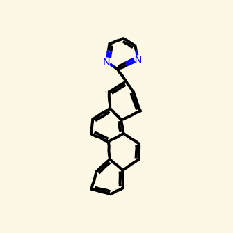 [c]1c(-c2ncccn2)ccc2c1ccc1c3ccccc3ccc21